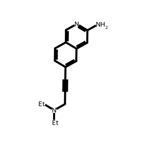 CCN(CC)CC#Cc1ccc2cnc(N)cc2c1